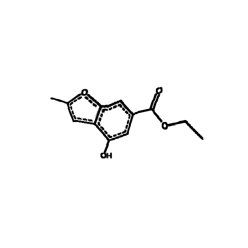 CCOC(=O)c1cc(O)c2cc(C)oc2c1